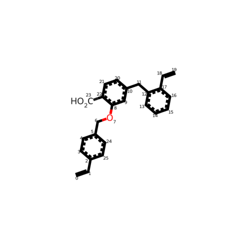 C=Cc1ccc(COc2cc(Cc3ccccc3C=C)ccc2C(=O)O)cc1